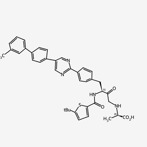 C[C@@H](NCC(=O)[C@H](Cc1ccc(-c2ncc(-c3ccc(-c4cccc(C(F)(F)F)c4)cc3)cn2)cc1)NC(=O)c1ccc(C(C)(C)C)s1)C(=O)O